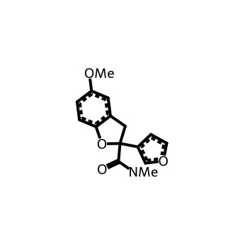 CNC(=O)C1(c2ccoc2)Cc2cc(OC)ccc2O1